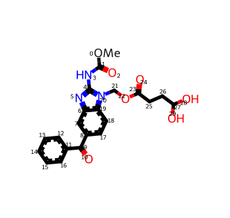 COC(=O)Nc1nc2cc(C(=O)c3ccccc3)ccc2n1COC(=O)CCC(O)O